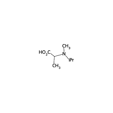 CC(C)N(C)C(C)C(=O)O